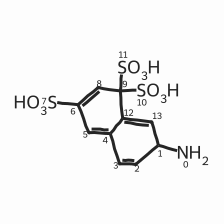 NC1C=CC2=CC(S(=O)(=O)O)=CC(S(=O)(=O)O)(S(=O)(=O)O)C2=C1